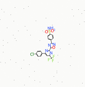 NS(=O)(=O)c1ccc(-c2noc(-c3nc(-c4ccc(Cl)cc4)cc(C(F)(F)F)n3)n2)cc1